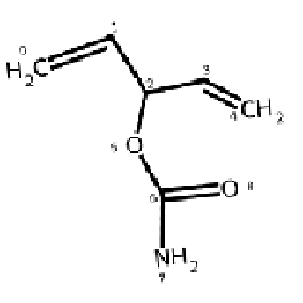 C=CC(C=C)OC(N)=O